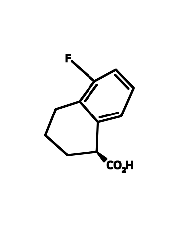 O=C(O)[C@H]1CCCc2c(F)cccc21